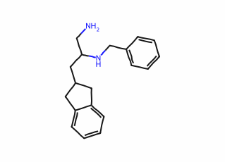 NCC(CC1Cc2ccccc2C1)NCc1ccccc1